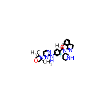 Cc1cccc2ccnc(N(C(=O)c3ccc(Nc4nccc(N5[C@H](C)COC[C@@H]5C)n4)cc3F)[C@@H]3CCCNC3)c12